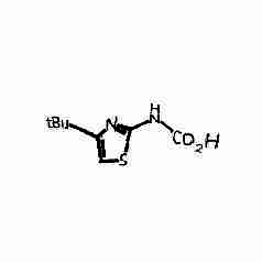 CC(C)(C)c1csc(NC(=O)O)n1